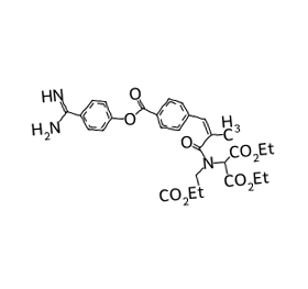 CCOC(=O)CN(C(=O)C(C)=Cc1ccc(C(=O)Oc2ccc(C(=N)N)cc2)cc1)C(C(=O)OCC)C(=O)OCC